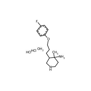 CC1(N)CCNCC1CCCOc1ccc(F)cc1.Cl.Cl.O